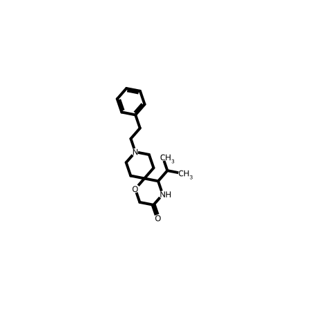 CC(C)C1NC(=O)COC12CCN(CCc1ccccc1)CC2